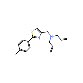 C=CCN(CC=C)Cc1csc(-c2ccc(C)cc2)n1